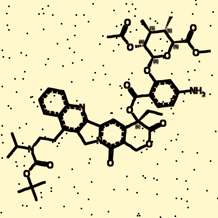 CC[C@@]1(OC(=O)c2ccc(N)cc2O[C@@H]2O[C@H](C(=O)OC)[C@@H](C)[C@H](C)[C@H]2OC(C)=O)C(=O)OCc2c1cc1n(c2=O)Cc2c-1nc1ccccc1c2CCN(C(=O)OC(C)(C)C)C(C)C